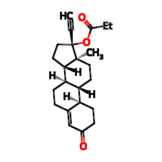 C#C[C@]1(OC(=O)CC)CC[C@H]2[C@@H]3CCC4=CC(=O)CC[C@@H]4[C@H]3CC[C@@]21C